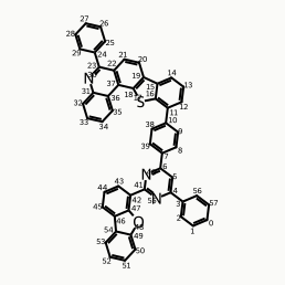 c1ccc(-c2cc(-c3ccc(-c4cccc5c4sc4c5ccc5c(-c6ccccc6)nc6ccccc6c54)cc3)nc(-c3cccc4c3oc3ccccc34)n2)cc1